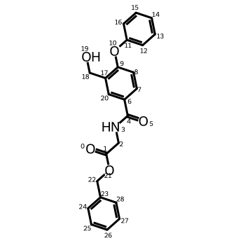 O=C(CNC(=O)c1ccc(Oc2ccccc2)c(CO)c1)OCc1ccccc1